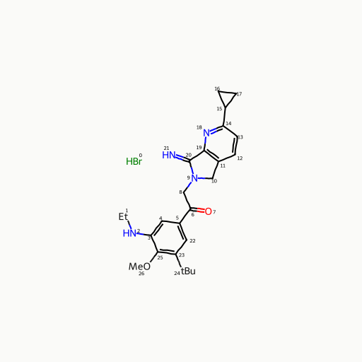 Br.CCNc1cc(C(=O)CN2Cc3ccc(C4CC4)nc3C2=N)cc(C(C)(C)C)c1OC